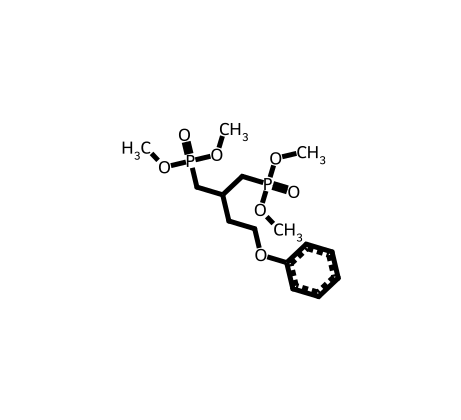 COP(=O)(CC(CCOc1ccccc1)CP(=O)(OC)OC)OC